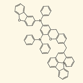 C(=C(\Cc1ccc2c(c1)Oc1c(cc(N(c3ccccc3)c3ccc4oc5ccccc5c4c3)cc1N(c1ccccc1)c1ccccc1)C2)c1ccccc1)/c1cccc2c1sc1ccccc12